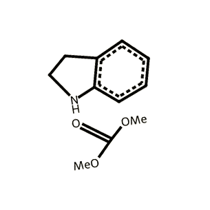 COC(=O)OC.c1ccc2c(c1)CCN2